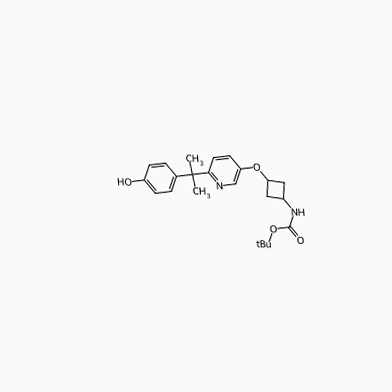 CC(C)(C)OC(=O)NC1CC(Oc2ccc(C(C)(C)c3ccc(O)cc3)nc2)C1